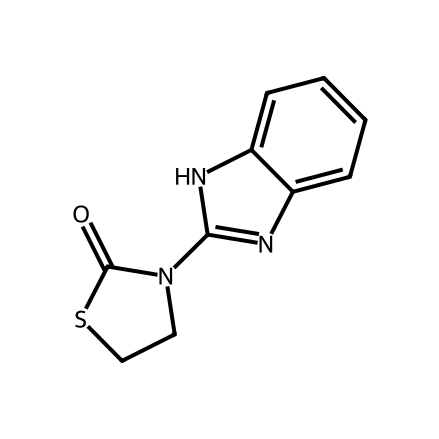 O=C1SCCN1c1nc2ccccc2[nH]1